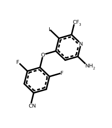 N#Cc1cc(F)c(Oc2cc(N)nc(C(F)(F)F)c2I)c(F)c1